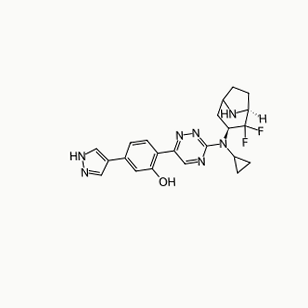 Oc1cc(-c2cn[nH]c2)ccc1-c1cnc(N(C2CC2)[C@H]2CC3CC[C@H](N3)C2(F)F)nn1